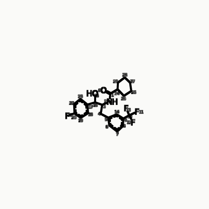 O=C(NC(Cc1cccc(C(F)(F)F)c1)C(O)c1ccc(F)cc1)C1CCCCC1